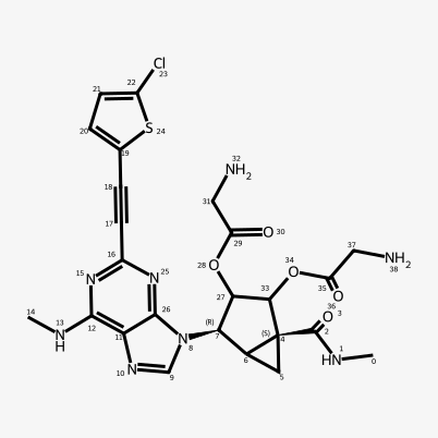 CNC(=O)[C@@]12CC1[C@@H](n1cnc3c(NC)nc(C#Cc4ccc(Cl)s4)nc31)C(OC(=O)CN)C2OC(=O)CN